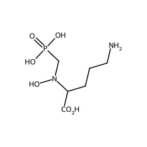 NCCCC(C(=O)O)N(O)CP(=O)(O)O